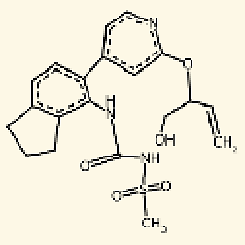 C=CC(CO)Oc1cc(-c2ccc3c(c2NC(=O)NS(C)(=O)=O)CCC3)ccn1